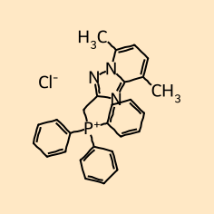 Cc1ccc(C)n2nc(C[P+](c3ccccc3)(c3ccccc3)c3ccccc3)nc12.[Cl-]